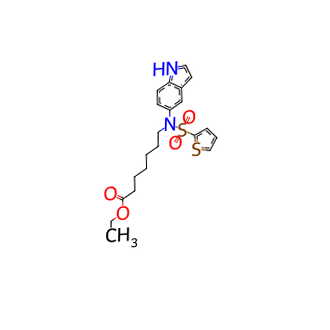 CCOC(=O)CCCCCCN(c1ccc2[nH]ccc2c1)S(=O)(=O)c1cccs1